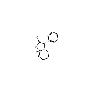 N#CC1O[C@H]2CCCCN2[C@H]1c1ccccc1